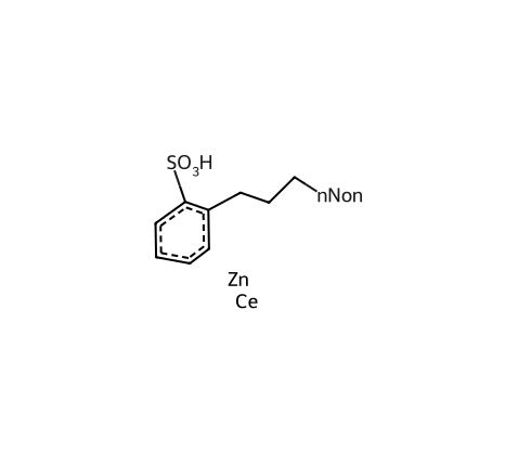 CCCCCCCCCCCCc1ccccc1S(=O)(=O)O.[Ce].[Zn]